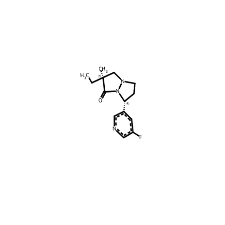 CC[C@@]1(C)CN2CC[C@H](c3cncc(F)c3)N2C1=O